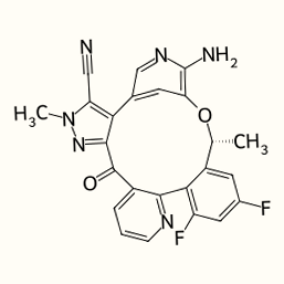 C[C@H]1Oc2cc(cnc2N)-c2c(nn(C)c2C#N)C(=O)c2cccnc2-c2c(F)cc(F)cc21